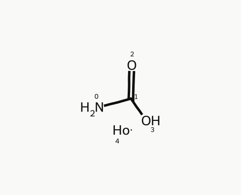 NC(=O)O.[Ho]